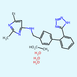 CC(=O)O.CCc1cc(NCc2ccc(-c3ccccc3-c3nnn[nH]3)cc2)nc(C)n1.O.O.O